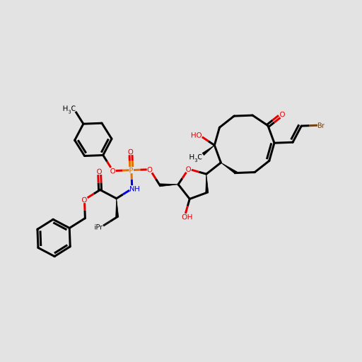 CC(C)C[C@H](NP(=O)(OC[C@H]1O[C@@H]([C@@H]2CC/C=C(/C=C/Br)C(=O)CCC[C@@]2(C)O)CC1O)OC1=CCC(C)C=C1)C(=O)OCc1ccccc1